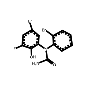 NC(=O)N(c1ccccc1Br)c1cc(Br)cc(F)c1O